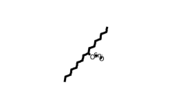 CCCCCCCCC(CCCCCCC)[O][Sn]=[O]